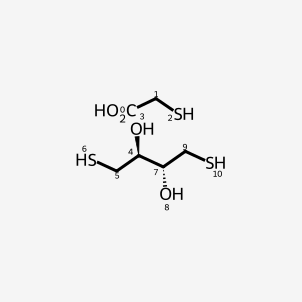 O=C(O)CS.O[C@H](CS)[C@@H](O)CS